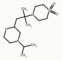 CC(C)N1CCOC(CC(C)(C)N2CCS(=O)(=O)CC2)C1